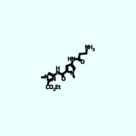 CCOC(=O)c1nc(NC(=O)c2cc(NC(=O)CCN)cn2C)cn1C